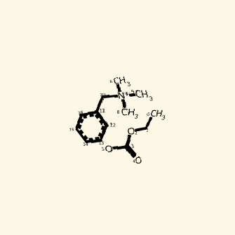 CCOC(=O)[O-].C[N+](C)(C)Cc1ccccc1